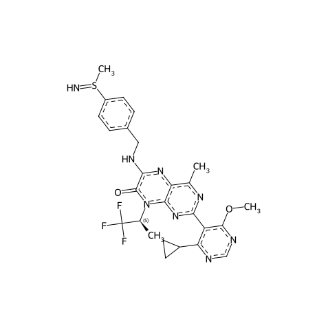 COc1ncnc(C2CC2)c1-c1nc(C)c2nc(NCc3ccc(S(C)=N)cc3)c(=O)n([C@@H](C)C(F)(F)F)c2n1